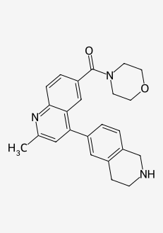 Cc1cc(-c2ccc3c(c2)CCNC3)c2cc(C(=O)N3CCOCC3)ccc2n1